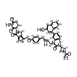 CCC(=O)N1CC(N2Cc3ccc(-c4cc(O)cc5ccccc45)cc3N(CCNCc3ccc(OCc4scc5c4CN([C@H]4CCC(=O)NC4=O)C5=O)cc3)C2=O)C1